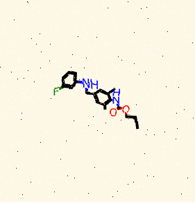 CCCOC(=O)Nc1c(C)cc(CNc2cccc(F)c2)cc1C